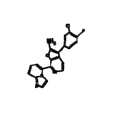 Nc1oc2c(-c3cccc4nccn34)nccc2c1-c1ccc(F)c(Cl)c1